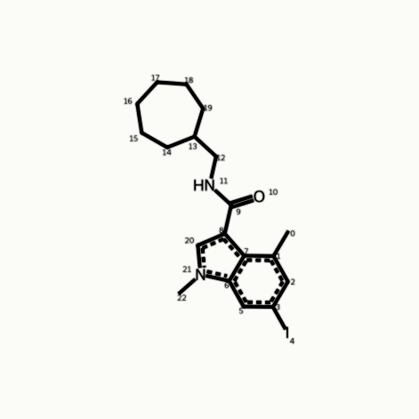 Cc1cc(I)cc2c1c(C(=O)NCC1CCCCCC1)cn2C